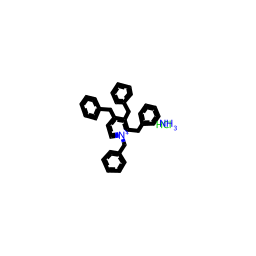 Cl.N.c1ccc(Cc2cc[n+](Cc3ccccc3)c(Cc3ccccc3)c2Cc2ccccc2)cc1